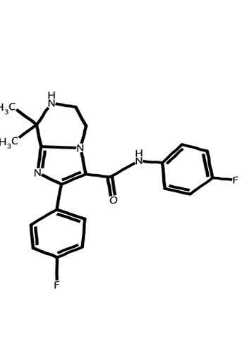 CC1(C)NCCn2c1nc(-c1ccc(F)cc1)c2C(=O)Nc1ccc(F)cc1